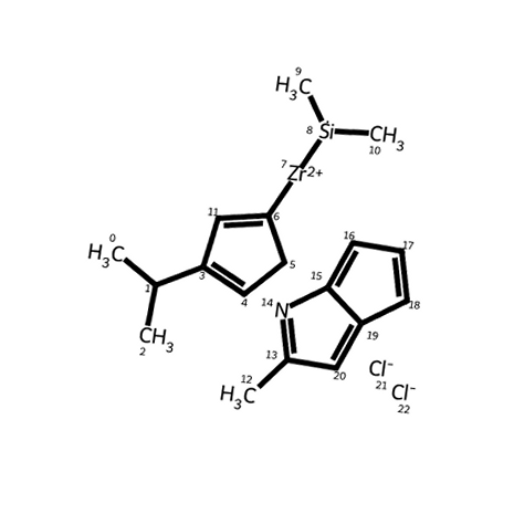 CC(C)C1=CC[C]([Zr+2][Si](C)C)=C1.CC1=NC2=CC=CC2=C1.[Cl-].[Cl-]